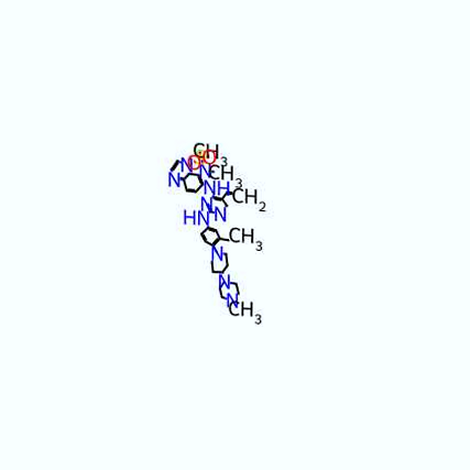 C=Cc1cnc(Nc2ccc(N3CCC(N4CCN(C)CC4)CC3)c(CC)c2)nc1Nc1ccc2nccnc2c1N(C)S(C)(=O)=O